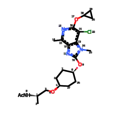 CC(=O)N[C@@H](C)CO[C@H]1CC[C@H](Oc2nc3c(C)nc(OC4CC4)c(Cl)c3n2C)CC1